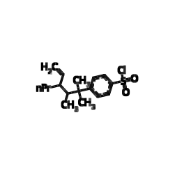 C=CC(CCC)C(C)C(C)(C)c1ccc(S(=O)(=O)Cl)cc1